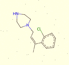 CC(=CCN1CCNCC1)c1ccccc1Cl